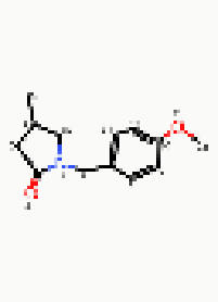 [CH2]C1CC(=O)N(Cc2ccc(OC)cc2)C1